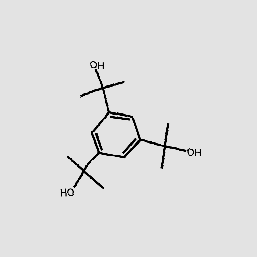 CC(C)(O)c1cc(C(C)(C)O)cc(C(C)(C)O)c1